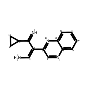 N=C(/C(=C\N)c1cnc2ccccc2n1)C1CC1